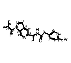 CC(C)c1ccc(CC(=O)NC(C)c2cc3cnn(C(F)C(F)F)c3cn2)cn1